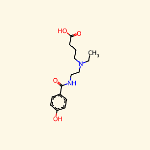 CCN(CCCC(=O)O)CCNC(=O)c1ccc(O)cc1